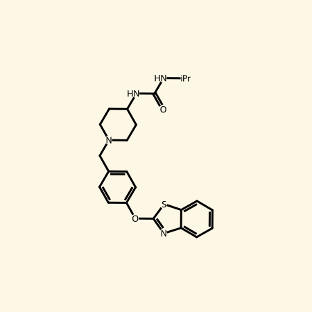 CC(C)NC(=O)NC1CCN(Cc2ccc(Oc3nc4ccccc4s3)cc2)CC1